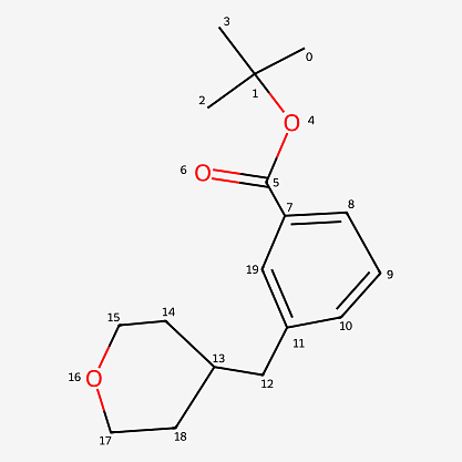 CC(C)(C)OC(=O)c1cccc(CC2CCOCC2)c1